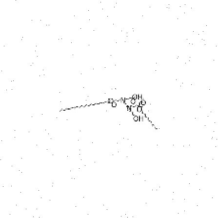 CCCCCCCCCCCCCCCCCCCCCOC(=O)CCCN(CCCC(=O)O)CCCN(CCCCO)CCCC(=C=O)OCCCCCCCCCCC